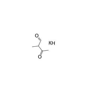 CC(=O)C(C)C=O.[KH]